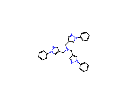 c1ccc(-n2cc(CN(Cc3cnn(-c4ccccc4)c3)Cc3cnn(-c4ccccc4)c3)cn2)cc1